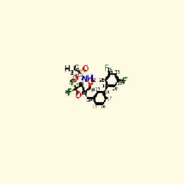 CS(=O)(=O)N[C@H]1C(F)(F)O[C@@]1(C=O)Cc1cccc(-c2cc(F)cc(F)c2)c1